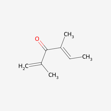 C=C(C)C(=O)C(C)=CC